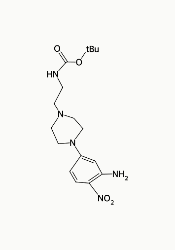 CC(C)(C)OC(=O)NCCN1CCN(c2ccc([N+](=O)[O-])c(N)c2)CC1